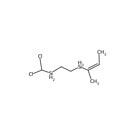 CC=C(C)[SiH2]CC[SiH2]C(Cl)Cl